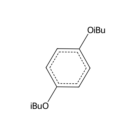 CC(C)COc1ccc(OCC(C)C)cc1